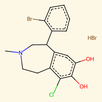 Br.CN1CCc2c(cc(O)c(O)c2Cl)C(c2ccccc2Br)C1